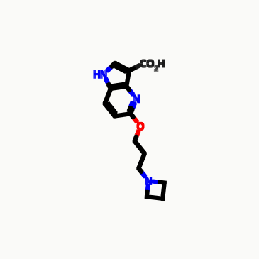 O=C(O)c1c[nH]c2ccc(OCCCN3CCC3)nc12